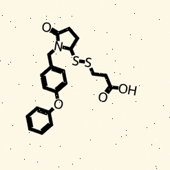 O=C(O)CCSSC1CCC(=O)N1Cc1ccc(Oc2ccccc2)cc1